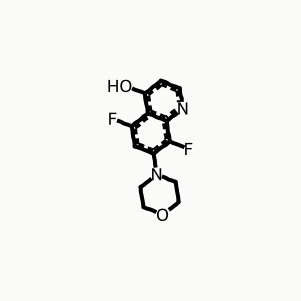 Oc1ccnc2c(F)c(N3CCOCC3)cc(F)c12